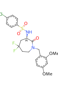 COc1ccc(CN2CCC(F)(F)C[C@@H](NS(=O)(=O)c3ccc(Cl)cc3)C2=O)c(OC)c1